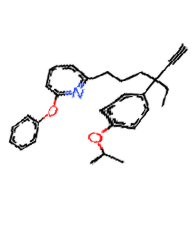 C#CC(CC)(CCCc1cccc(Oc2ccccc2)n1)c1ccc(OC(C)C)cc1